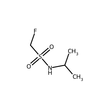 CC(C)NS(=O)(=O)CF